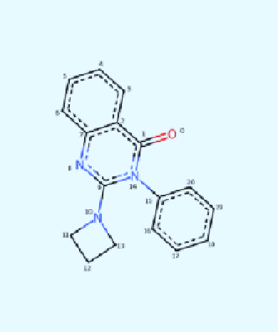 O=c1c2ccccc2nc(N2CCC2)n1-c1ccccc1